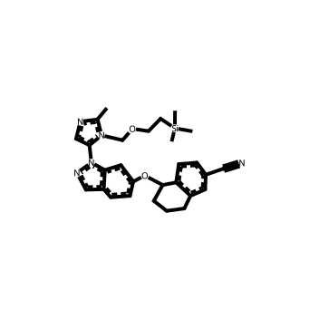 Cc1ncc(-n2ncc3ccc(OC4CCCc5cc(C#N)ccc54)cc32)n1COCC[Si](C)(C)C